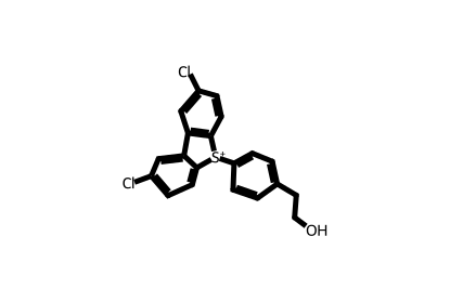 OCCc1ccc(-[s+]2c3ccc(Cl)cc3c3cc(Cl)ccc32)cc1